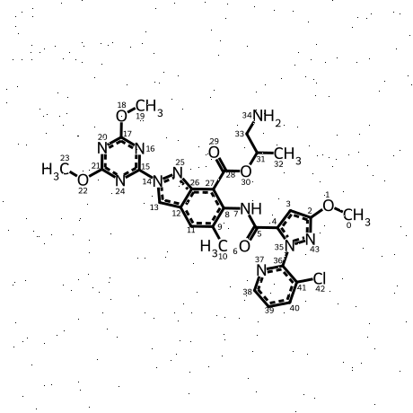 COc1cc(C(=O)Nc2c(C)cc3cn(-c4nc(OC)nc(OC)n4)nc3c2C(=O)OC(C)CN)n(-c2ncccc2Cl)n1